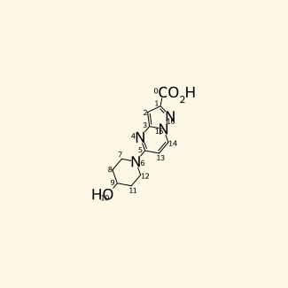 O=C(O)c1cc2nc(N3CCC(O)CC3)ccn2n1